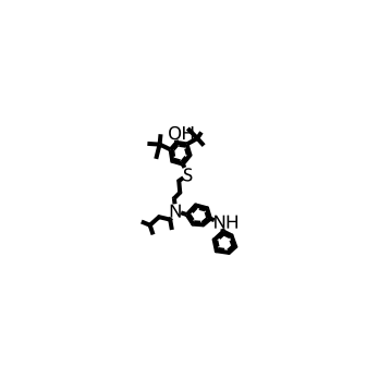 CC(C)CC(C)N(CCCSc1cc(C(C)(C)C)c(O)c(C(C)(C)C)c1)c1ccc(Nc2ccccc2)cc1